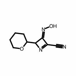 N#CC1=NC(C2CCCCO2)C1=NO